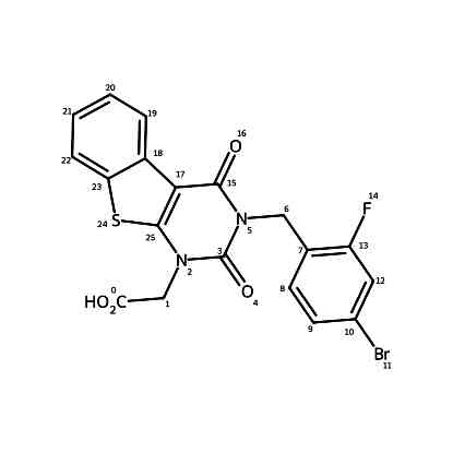 O=C(O)Cn1c(=O)n(Cc2ccc(Br)cc2F)c(=O)c2c3ccccc3sc21